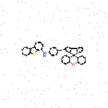 c1ccc2c(c1)Oc1ccccc1C21c2ccccc2-c2ccc(-c3ccc(Nc4cccc5c4sc4ccccc45)cc3)cc21